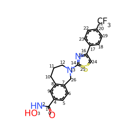 O=C(NO)c1ccc2c(c1)CCCN(c1nc(-c3ccc(C(F)(F)F)cc3)cs1)C2